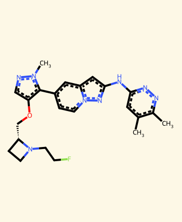 Cc1cc(Nc2cc3cc(-c4c(OC[C@H]5CCN5CCF)cnn4C)ccn3n2)nnc1C